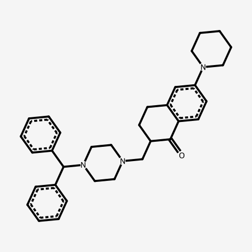 O=C1c2ccc(N3CCCCC3)cc2CCC1CN1CCN(C(c2ccccc2)c2ccccc2)CC1